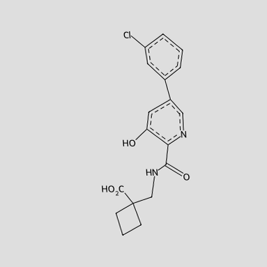 O=C(NCC1(C(=O)O)CCC1)c1ncc(-c2cccc(Cl)c2)cc1O